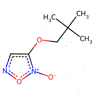 CC(C)(C)COc1cno[n+]1[O-]